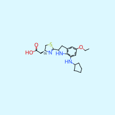 CCOc1cc2c(c(NC3CCCC3)c1)NC(C1=N[C@@H](CC(=O)O)CS1)C2